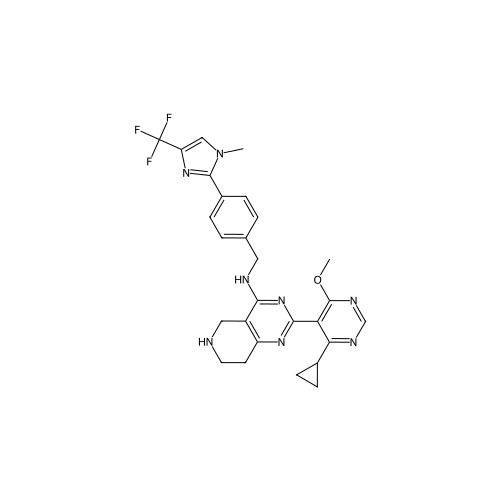 COc1ncnc(C2CC2)c1-c1nc2c(c(NCc3ccc(-c4nc(C(F)(F)F)cn4C)cc3)n1)CNCC2